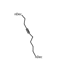 [CH2]CCCCCCCCCCCC#CCCCCCCCCCCCCC[CH2]